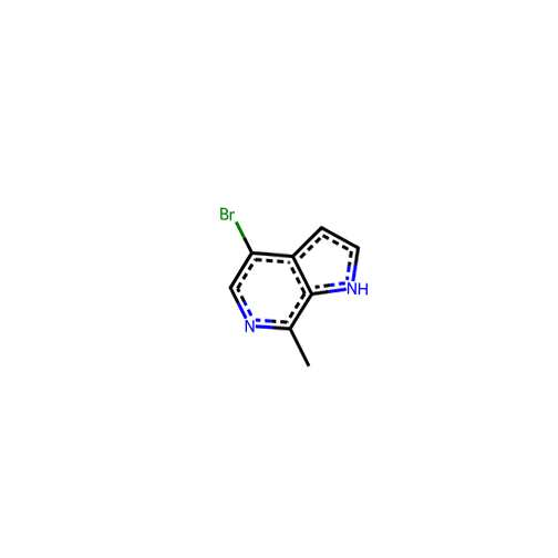 Cc1ncc(Br)c2cc[nH]c12